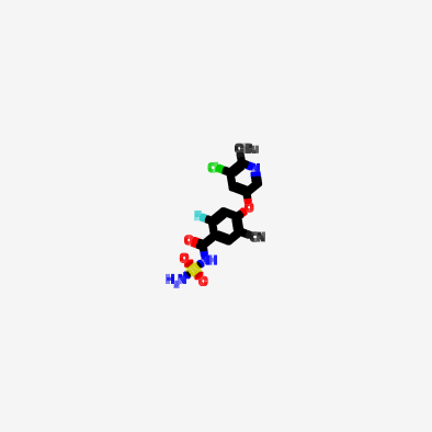 CC(C)COc1ncc(Oc2cc(F)c(C(=O)NS(N)(=O)=O)cc2C#N)cc1Cl